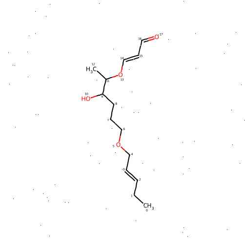 CCC=CCOCCCC(O)C(C)OC=CC=O